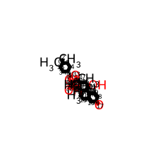 CC1(C)CCC([C@H]2O[C@@H]3C[C@H]4[C@@H]5CCC6=CC(=O)C=C[C@]6(C)[C@H]5[C@@H](O)C[C@]4(C)[C@]3(C(=O)CO)O2)CC1